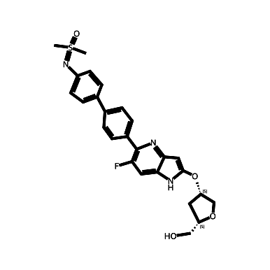 CS(C)(=O)=Nc1ccc(-c2ccc(-c3nc4cc(O[C@@H]5CO[C@H](CO)C5)[nH]c4cc3F)cc2)cc1